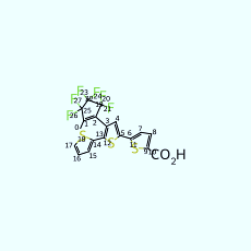 CC1=C(c2cc(-c3ccc(C(=O)O)s3)sc2-c2cccs2)C(F)(F)C(F)(F)C1(F)F